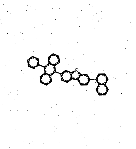 c1ccc(-c2c3ccccc3c(-c3ccc4c(c3)oc3cc(-c5cccc6ccccc56)ccc34)c3ccccc23)cc1